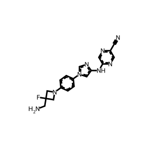 N#Cc1cnc(Nc2cn(-c3ccc(N4CC(F)(CN)C4)cc3)cn2)cn1